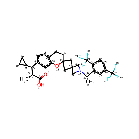 C[C@H](C(=O)O)C(c1ccc2c(c1)OC1(CC2)CC2(CN([C@@H](C)c3cc(C(F)(F)F)ccc3C(F)(F)F)C2)C1)C1CC1